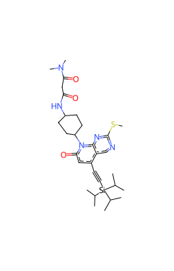 CSc1ncc2c(C#C[Si](C(C)C)(C(C)C)C(C)C)cc(=O)n(C3CCC(NC(=O)CC(=O)N(C)C)CC3)c2n1